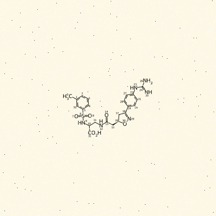 Cc1cccc(S(=O)(=O)NC(CNC(=O)C[C@H]2CC(c3ccc(NC(=N)N)cc3)=NO2)C(=O)O)c1